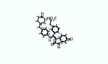 O=C(O)CCc1cccc(/C(Nc2ccc(CN3CCNCC3)cc2)=C2/C(=O)Nc3cc(Cl)ccc32)c1